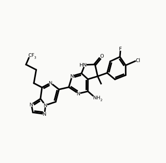 CC1(c2ccc(Cl)c(F)c2)C(=O)Nc2nc(-c3cn4ncnc4c(CCCC(F)(F)F)n3)nc(N)c21